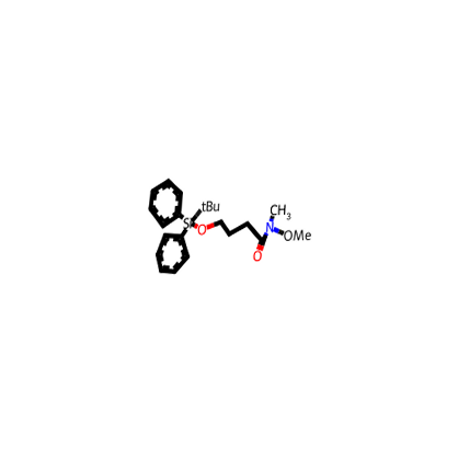 CON(C)C(=O)CCCO[Si](c1ccccc1)(c1ccccc1)C(C)(C)C